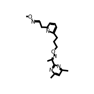 CON=CCc1cccc(CCCO/N=C(\C)c2nc(C)cc(C)n2)n1